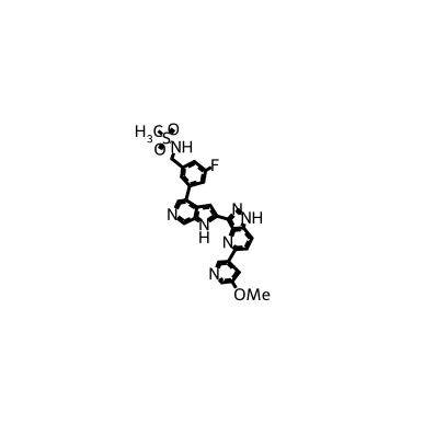 COc1cncc(-c2ccc3[nH]nc(-c4cc5c(-c6cc(F)cc(CNS(C)(=O)=O)c6)cncc5[nH]4)c3n2)c1